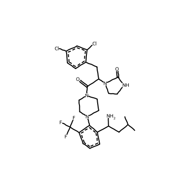 CC(C)CC(N)c1cccc(C(F)(F)F)c1N1CCN(C(=O)C(Cc2ccc(Cl)cc2Cl)N2CCNC2=O)CC1